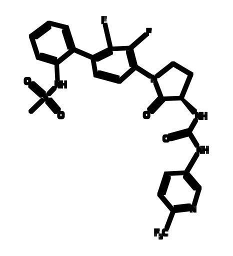 CS(=O)(=O)Nc1ccccc1-c1ccc(N2CC[C@@H](NC(=O)Nc3ccc(C(F)(F)F)nc3)C2=O)c(F)c1F